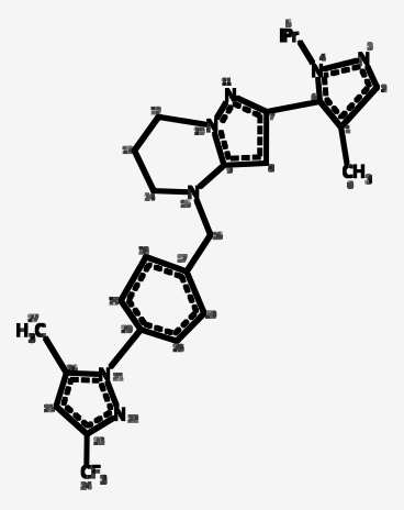 Cc1cnn(C(C)C)c1-c1cc2n(n1)CCCN2Cc1ccc(-n2nc(C(F)(F)F)cc2C)cc1